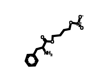 NC(Cc1ccccc1)C(=O)OCCCCO[N+](=O)[O-]